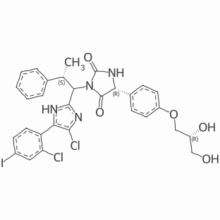 C[C@@H](c1ccccc1)C(c1nc(Cl)c(-c2ccc(I)cc2Cl)[nH]1)N1C(=O)N[C@H](c2ccc(OC[C@H](O)CO)cc2)C1=O